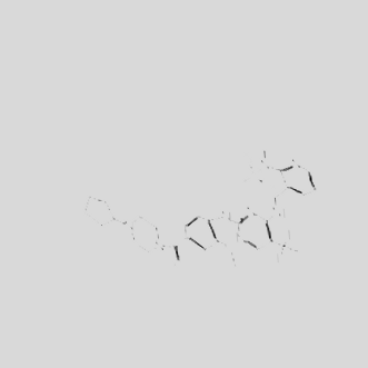 COc1cc(C(=O)N2CCN(C3CCCC3)CC2)ccc1Nc1ncc(C(F)(F)F)c(NCc2cccnc2N(C)S(C)(=O)=O)n1